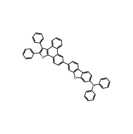 c1ccc(-c2oc3c4ccc(-c5ccc6c(c5)oc5cc(N(c7ccccc7)c7ccccc7)ccc56)cc4c4ccccc4c3c2-c2ccccc2)cc1